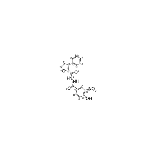 O=C(NNC(=O)c1occc1-c1cccnc1)c1ccc(O)c([N+](=O)[O-])c1